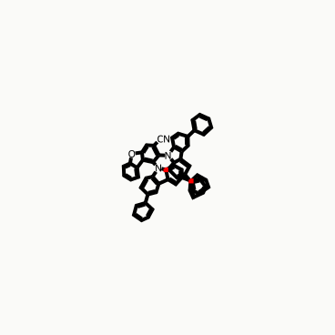 N#Cc1cc2oc3ccccc3c2c(-n2c3ccc(-c4ccccc4)cc3c3cc(-c4ccccc4)ccc32)c1-n1c2ccc(-c3ccccc3)cc2c2cc(-c3ccccc3)ccc21